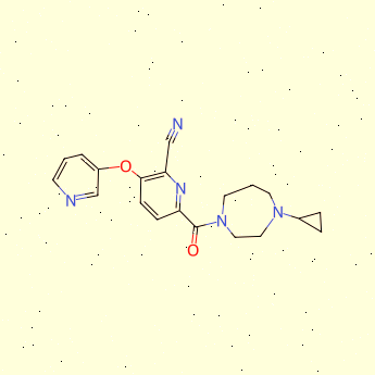 N#Cc1nc(C(=O)N2CCCN(C3CC3)CC2)ccc1Oc1cccnc1